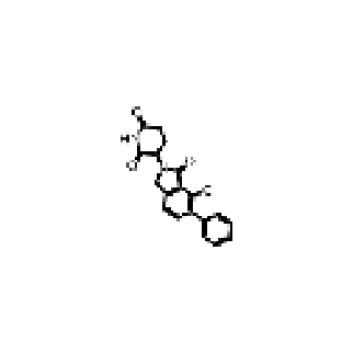 O=C1CCC(N2Cc3ccc(-c4ccccc4)c(Cl)c3C2=O)C(=O)N1